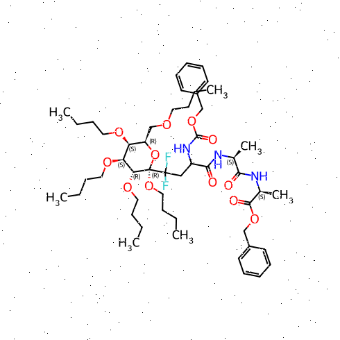 CCCCOC[C@H]1O[C@@](OCCCC)(C(F)(F)CC(NC(=O)OCc2ccccc2)C(=O)N[C@@H](C)C(=O)N[C@@H](C)C(=O)OCc2ccccc2)[C@H](OCCCC)[C@@H](OCCCC)[C@H]1OCCCC